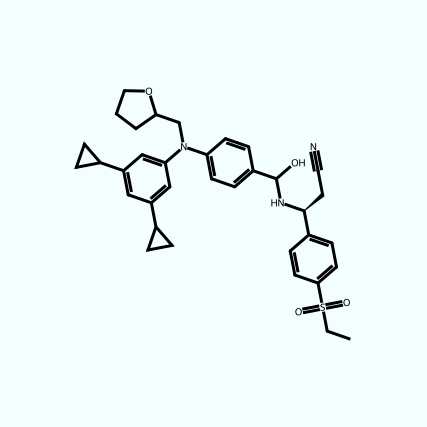 CCS(=O)(=O)c1ccc([C@H](CC#N)NC(O)c2ccc(N(CC3CCCO3)c3cc(C4CC4)cc(C4CC4)c3)cc2)cc1